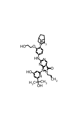 C=CCn1c(=O)c2cnc(Nc3ccc(N4CC5CCC(C4)N5C)c(OCCO)c3)nc2n1-c1cc(O)cc(C(C)(C)O)n1